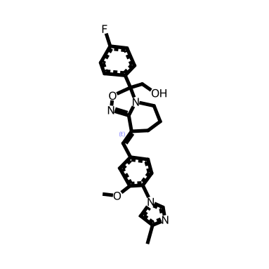 COc1cc(/C=C2\CCCN3C2=NOC3(CO)c2ccc(F)cc2)ccc1-n1cnc(C)c1